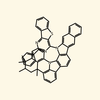 CC1CC2(C)c3c(cccc3C1(C)C)-n1c3c2cccc3c2ccc3c4cc5ccccc5cc4n(-c4nc(-c5ccccc5)nc5c4sc4ccccc45)c3c21